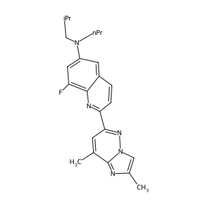 CCCN(CC(C)C)c1cc(F)c2nc(-c3cc(C)c4nc(C)cn4n3)ccc2c1